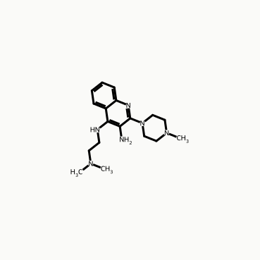 CN(C)CCNc1c(N)c(N2CCN(C)CC2)nc2ccccc12